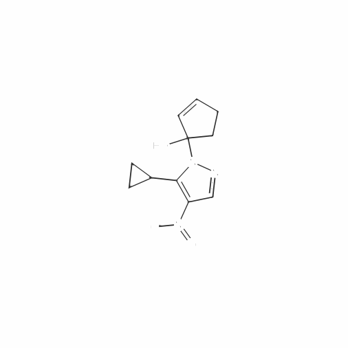 O=[N+]([O-])c1cnn(C2(O)C=CCC2)c1C1CC1